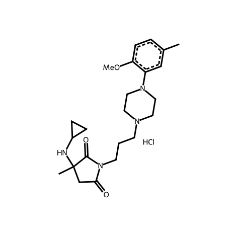 COc1ccc(C)cc1N1CCN(CCCN2C(=O)CC(C)(NC3CC3)C2=O)CC1.Cl